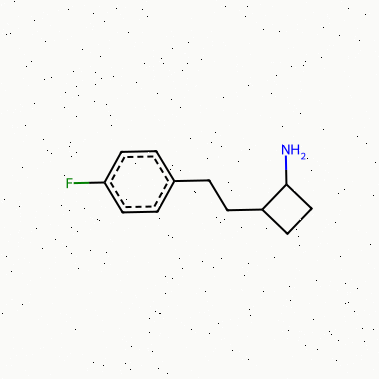 NC1CCC1CCc1ccc(F)cc1